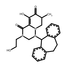 CC1CN2C(=C(O)C1=O)C(=O)N(CCO)CN2C1c2ccccc2CCc2ccccc21